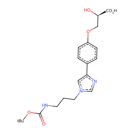 CC(C)(C)OC(=O)NCCCn1cnc(-c2ccc(OC[C@@H](O)C(=O)O)cc2)c1